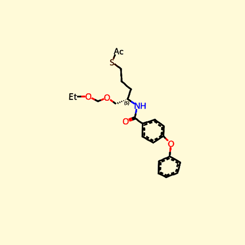 CCOCOC[C@H](CCCSC(C)=O)NC(=O)c1ccc(Oc2ccccc2)cc1